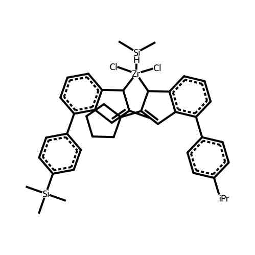 CC1=Cc2c(-c3ccc([Si](C)(C)C)cc3)cccc2[CH]1[Zr]([Cl])([Cl])([CH]1C(C2CCCC2)=Cc2c(-c3ccc(C(C)C)cc3)cccc21)[SiH](C)C